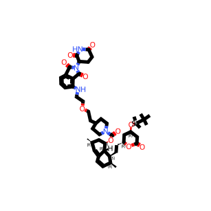 C[C@H]1C=C2C=C[C@H](C)[C@H](CC[C@@H]3C[C@@H](O[Si](C)(C)C(C)(C)C)CC(=O)O3)[C@H]2[C@@H](OC(=O)N2CCC(CCOCCNc3cccc4c3C(=O)N(C3CCC(=O)NC3=O)C4=O)CC2)C1